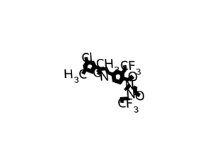 Cc1cc(Cl)cc(C2(C)CC(c3ccc(C(=O)N4CC(=O)N(CCC(F)(F)F)C4)c(CC(F)(F)F)c3)=NO2)c1